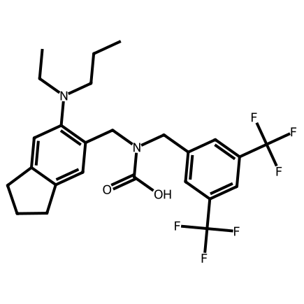 CCCN(CC)c1cc2c(cc1CN(Cc1cc(C(F)(F)F)cc(C(F)(F)F)c1)C(=O)O)CCC2